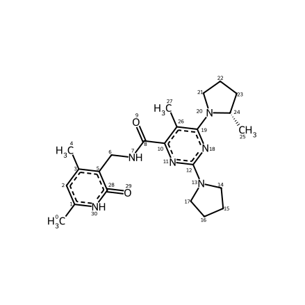 Cc1cc(C)c(CNC(=O)c2nc(N3CCCC3)nc(N3CCC[C@@H]3C)c2C)c(=O)[nH]1